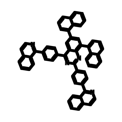 c1ccc2c(-c3cc(-c4cccc5ccccc45)c4nc(-c5ccc(-c6nccc7ccccc67)cc5)nc(-c5ccc(-c6nccc7ccccc67)cc5)c4c3)cccc2c1